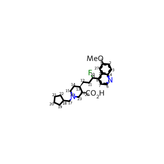 COc1ccc2nccc([C@H](F)CC[C@@H]3CCN(CC4CCCC4)C[C@@H]3C(=O)O)c2c1